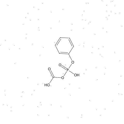 O=C(O)OP(=O)(O)Oc1ccccc1